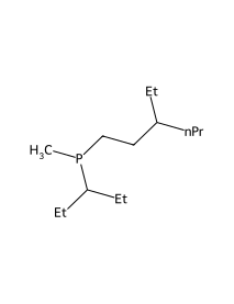 CCCC(CC)CCP(C)C(CC)CC